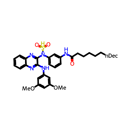 CCCCCCCCCCCCCCCC(=O)Nc1cccc(N(c2nc3ccccc3nc2Nc2cc(OC)cc(OC)c2)[SH](=O)=O)c1